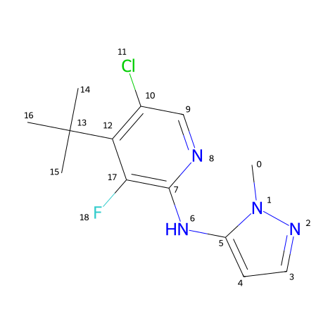 Cn1nccc1Nc1ncc(Cl)c(C(C)(C)C)c1F